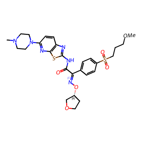 COCCCS(=O)(=O)c1ccc(/C(=N\O[C@@H]2CCOC2)C(=O)Nc2nc3ccc(N4CCN(C)CC4)nc3s2)cc1